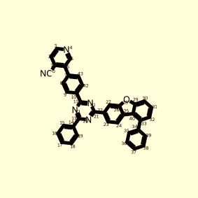 N#Cc1ccncc1-c1ccc(-c2nc(-c3ccccc3)nc(-c3ccc4c(c3)oc3cccc(-c5ccccc5)c34)n2)cc1